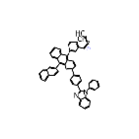 C#C/C=C\c1cc(-c2c3ccccc3c(-c3ccc4ccccc4c3)c3cc(-c4ccc(-c5nc6ccccc6n5-c5ccccc5)cc4)ccc23)ccc1C